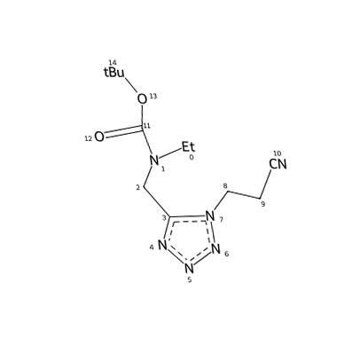 CCN(Cc1nnnn1CCC#N)C(=O)OC(C)(C)C